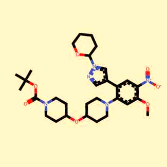 COc1cc(N2CCC(OC3CCN(C(=O)OC(C)(C)C)CC3)CC2)c(-c2cnn(C3CCCCO3)c2)cc1[N+](=O)[O-]